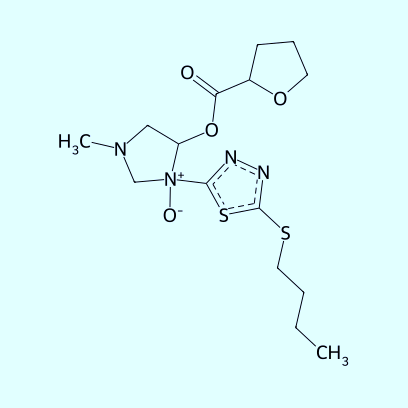 CCCCSc1nnc([N+]2([O-])CN(C)CC2OC(=O)C2CCCO2)s1